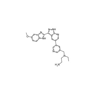 CCN(CCN)Cc1cncc(-c2cnc3[nH]nc(-c4nc5cc(OC)ccc5[nH]4)c3c2)c1